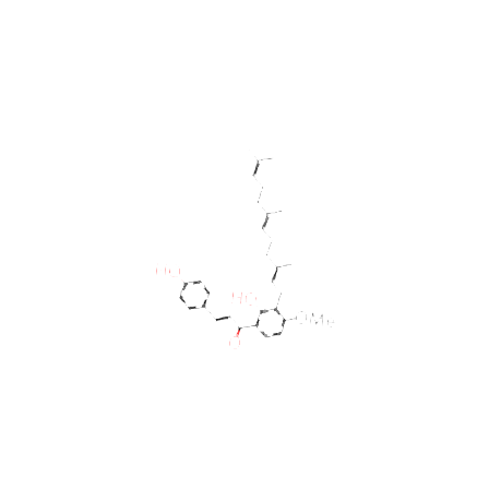 COc1ccc(C(=O)/C=C/c2ccc(O)cc2)c(O)c1C/C=C(\C)CC/C=C(\C)CCC=C(C)C